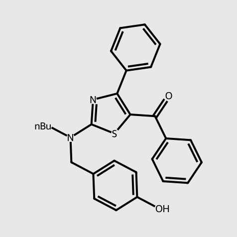 CCCCN(Cc1ccc(O)cc1)c1nc(-c2ccccc2)c(C(=O)c2ccccc2)s1